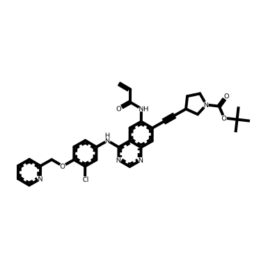 C=CC(=O)Nc1cc2c(Nc3ccc(OCc4ccccn4)c(Cl)c3)ncnc2cc1C#CC1CCN(C(=O)OC(C)(C)C)C1